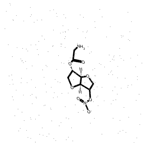 NCC(=O)O[C@H]1CO[C@@H]2C(O[N+](=O)[O-])CO[C@H]12